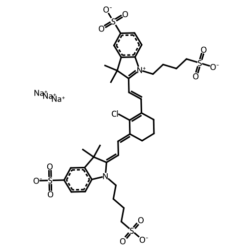 CC1(C)C(/C=C/C2=C(Cl)C(=C/C=C3/N(CCCCS(=O)(=O)[O-])c4ccc(S(=O)(=O)[O-])cc4C3(C)C)/CCC2)=[N+](CCCCS(=O)(=O)[O-])c2ccc(S(=O)(=O)[O-])cc21.[Na+].[Na+].[Na+]